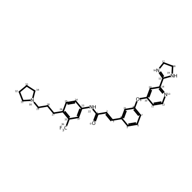 O=C(C=Cc1cccc(Oc2ccnc(C3=NCCN3)c2)c1)Nc1ccc(CCCN2CCCC2)c(C(F)(F)F)c1